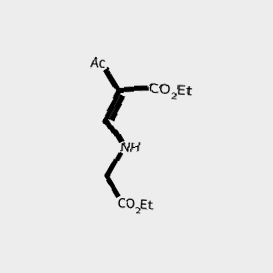 CCOC(=O)CNC=C(C(C)=O)C(=O)OCC